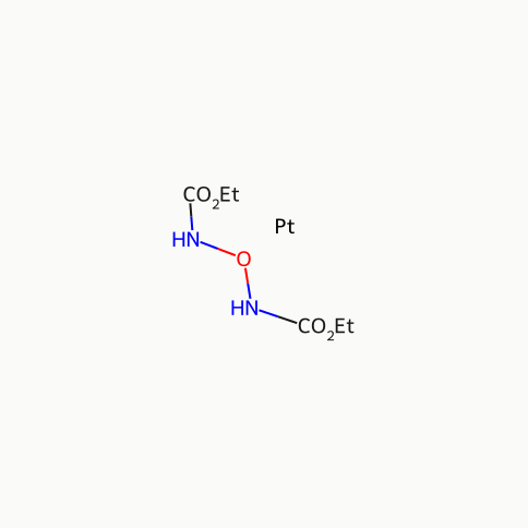 CCOC(=O)NONC(=O)OCC.[Pt]